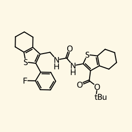 CC(C)(C)OC(=O)c1c(NC(=O)NCc2c(-c3ccccc3F)sc3c2CCCC3)sc2c1CCCC2